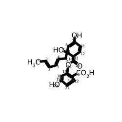 C/C=C/C=C/CC1(O)C=C(O)C=CC1C(=O)Oc1cc(O)ccc1C(=O)O